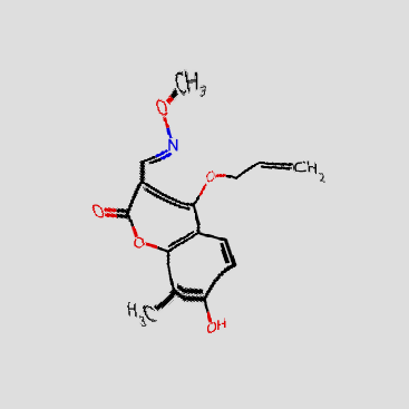 C=CCOc1c(C=NOC)c(=O)oc2c(C)c(O)ccc12